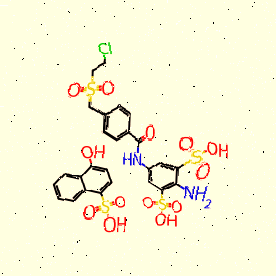 Nc1c(S(=O)(=O)O)cc(NC(=O)c2ccc(CS(=O)(=O)CCCl)cc2)cc1S(=O)(=O)O.O=S(=O)(O)c1ccc(O)c2ccccc12